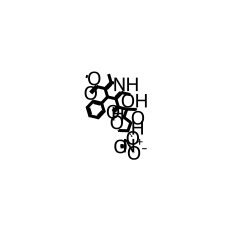 COC(=O)C1=C(C)NC(C)=C(C(=O)[C@]2(O)CO[C@@H]3[C@H](O[N+](=O)[O-])CO[C@@H]32)C1c1ccccc1